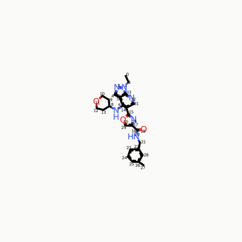 CCn1ncc2c(NC3CCOCC3)c(-c3nc(C(=O)NCc4cccc(C)c4)co3)cnc21